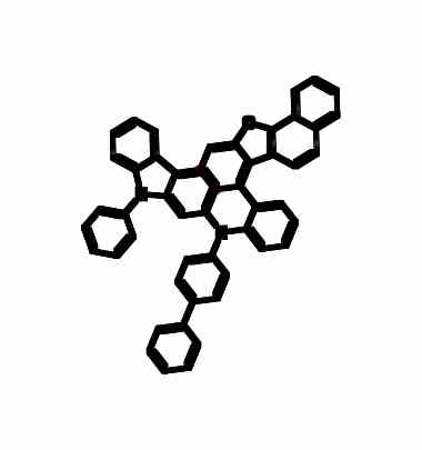 c1ccc(-c2ccc(N(c3ccc4c5ccccc5n(-c5ccccc5)c4c3)c3ccccc3-c3cccc4oc5c6ccccc6ccc5c34)cc2)cc1